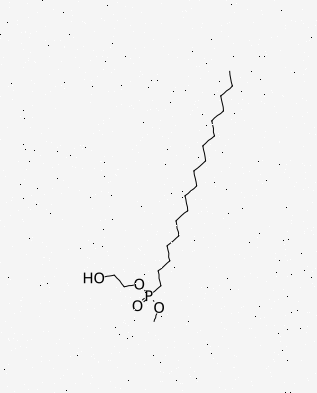 CCCCCCCCCCCCCCCCCCP(=O)(OC)OCCO